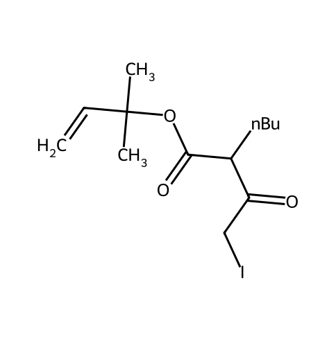 C=CC(C)(C)OC(=O)C(CCCC)C(=O)CI